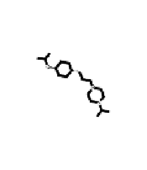 CC(C)O[C@H]1CC[C@H](CCCN2CCN(C(C)C)CC2)CC1